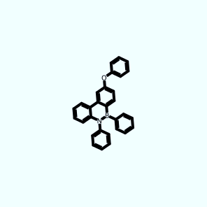 c1ccc(Oc2ccc3c(c2)-c2ccccc2N(c2ccccc2)B3c2ccccc2)cc1